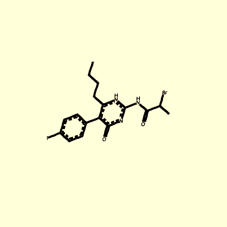 CCCCc1[nH]c(NC(=O)C(C)Br)nc(=O)c1-c1ccc(I)cc1